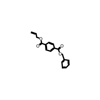 C=CCOC(=O)c1ccc(C(=O)OCc2ccccc2)cc1